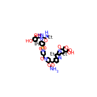 CCNC(=O)c1nnc(-c2cc(C(C)C)c(O)cc2O)n1-c1ccc(S(=O)(=O)N2CCC(C(=O)N3CCC(C(OC(N)=O)c4ccc5nc6c(c(CC)c5c4)Cn4c-6cc5c(c4=O)COC(=O)C5(O)CC)CC3)CC2)cc1